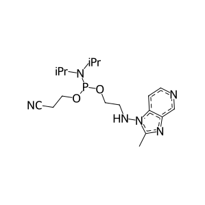 Cc1nc2cnccc2n1NCCOP(OCCC#N)N(C(C)C)C(C)C